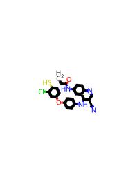 C=CC(=O)Nc1ccc2ncc(C#N)c(Nc3ccc(Oc4ccc(S)c(Cl)c4)cc3)c2c1